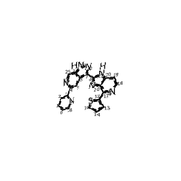 c1ccc(-c2cc3c(-c4nc5c(-c6cccs6)nccc5[nH]4)n[nH]c3cn2)nc1